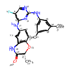 COc1cc(Nc2ncc(F)c(Nc3ccc4c(c3)NC(=O)[C@@H](C)O4)n2)cc(OC)c1